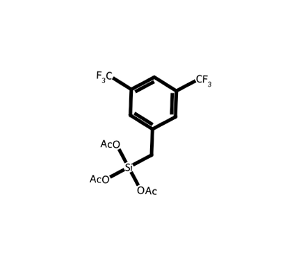 CC(=O)O[Si](Cc1cc(C(F)(F)F)cc(C(F)(F)F)c1)(OC(C)=O)OC(C)=O